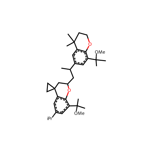 COC(C)(C)c1cc(C(C)CC2CC3(CC3)c3cc(C(C)C)cc(C(C)(C)OC)c3O2)cc2c1OCCC2(C)C